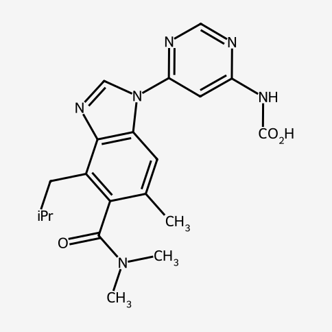 Cc1cc2c(ncn2-c2cc(NC(=O)O)ncn2)c(CC(C)C)c1C(=O)N(C)C